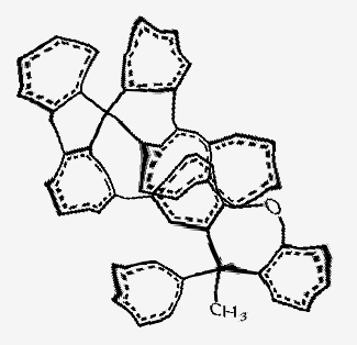 CC1(c2ccccc2)c2ccccc2Oc2ccc(-c3cccc4c3C3(c5ccccc5-4)c4ccccc4-c4c3ccc3ccccc43)cc21